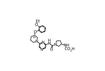 CCOc1ccccc1O[C@@H]1CCCN(c2cncc(NC(=O)N3CCC(NC(=O)O)C3)n2)C1